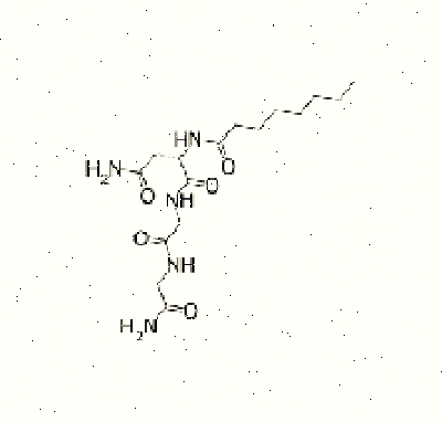 CCCCCCCC(=O)N[C@@H](CC(N)=O)C(=O)NCC(=O)NCC(N)=O